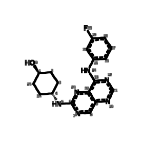 O[C@H]1CC[C@H](Nc2ncc3ncnc(Nc4cccc(F)c4)c3n2)CC1